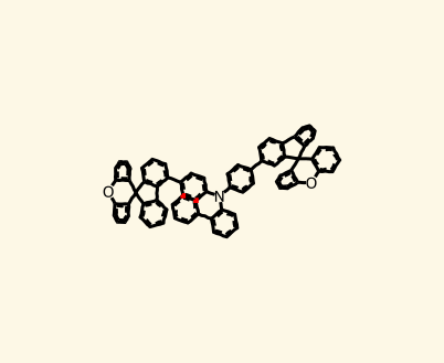 c1ccc(-c2ccccc2N(c2ccc(-c3ccc4c(c3)C3(c5ccccc5Oc5ccccc53)c3ccccc3-4)cc2)c2ccc(-c3cccc4c3-c3ccccc3C43c4ccccc4Oc4ccccc43)cc2)cc1